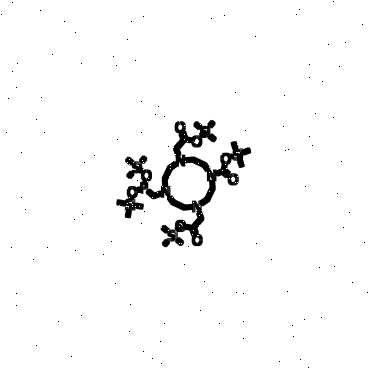 C[Si](C)(C)OC(=O)CN1CCN(CP(O[Si](C)(C)C)O[Si](C)(C)C)CCN(CC(=O)O[Si](C)(C)C)CCN(C(=O)O[Si](C)(C)C)CC1